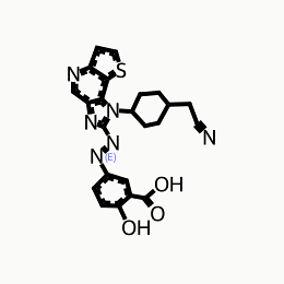 N#CCC1CCC(n2c(/N=N/c3ccc(O)c(C(=O)O)c3)nc3cnc4ccsc4c32)CC1